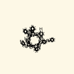 O=C1N[C@@H](Cc2ccc(OCc3ccccc3)cc2)C(=O)N[C@@H](Cc2cccnc2)C(=O)N2C[C@H](Oc3ccncc3)C[C@H]2C(=O)N[C@H](CCc2ccccc2)C(=O)N[C@@H](Cc2c[nH]c3ccccc23)C(=O)N[C@H]1CC1CCNCC1